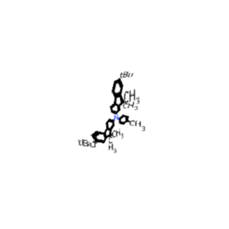 Cc1ccc(N(c2ccc3c(c2)C(C)(C)c2cc(C(C)(C)C)ccc2-3)c2ccc3c(c2)C(C)(C)c2cc(C(C)(C)C)ccc2-3)cc1